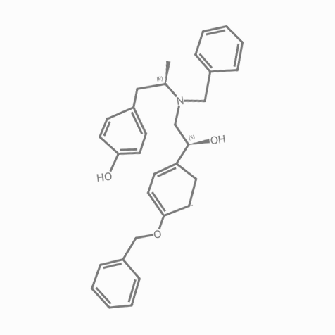 C[C@H](Cc1ccc(O)cc1)N(Cc1ccccc1)C[C@@H](O)C1=CC=C(OCc2ccccc2)[CH]C1